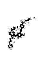 CNCCCNC(=O)c1ccc(C#Cc2cc(-c3nn(CCCN4CCOC[C@@H]4C)c4c3CN(C(=O)C(N)=O)CC4)ccc2Cl)cc1